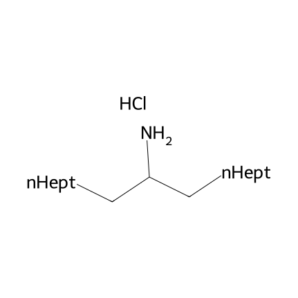 CCCCCCCCC(N)CCCCCCCC.Cl